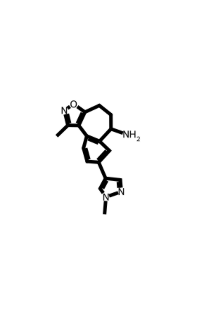 Cc1noc2c1-c1ccc(-c3cnn(C)c3)cc1C(N)CC2